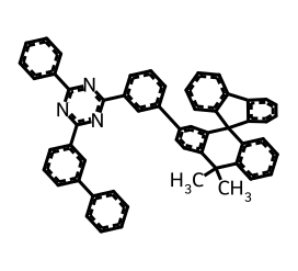 CC1(C)c2ccccc2C2(c3ccccc3-c3ccccc32)c2cc(-c3cccc(-c4nc(-c5ccccc5)nc(-c5cccc(-c6ccccc6)c5)n4)c3)ccc21